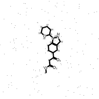 COC(=O)CC(=O)C1CCC2=C(CNN2C2CCCCO2)C1